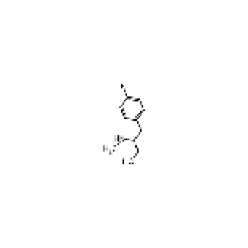 CN[C@H](CO)Cc1ccc(F)cc1